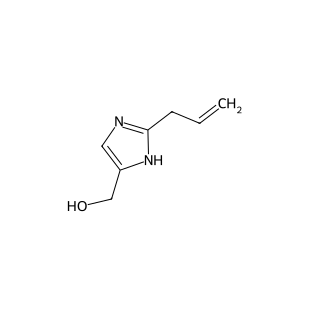 C=CCc1ncc(CO)[nH]1